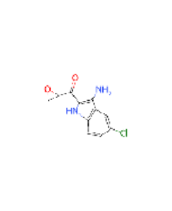 Nc1c(C(=O)C2CO2)[nH]c2ccc(Cl)cc12